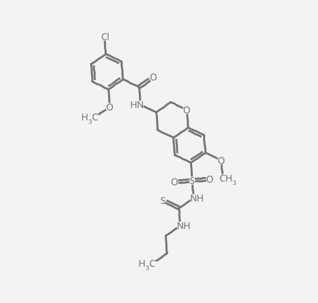 CCCNC(=S)NS(=O)(=O)c1cc2c(cc1OC)OCC(NC(=O)c1cc(Cl)ccc1OC)C2